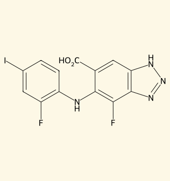 O=C(O)c1cc2[nH]nnc2c(F)c1Nc1ccc(I)cc1F